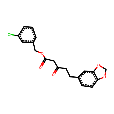 O=C(CCc1ccc2c(c1)OCO2)CC(=O)OCc1cccc(Cl)c1